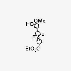 CCOC(=O)CC1CCN(c2c(F)cc(-c3ccc(OC)c(O)c3)cc2F)CC1